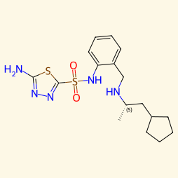 C[C@@H](CC1CCCC1)NCc1ccccc1NS(=O)(=O)c1nnc(N)s1